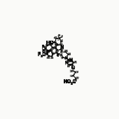 CC1(C)Cc2nc(C3CCN(c4ncc(OCCCCC(=O)O)cn4)CC3)c([C@@H](F)c3ccc(C(F)(F)F)cc3)c(C3CCC(F)(F)CC3)c2[C@@H](O)C1